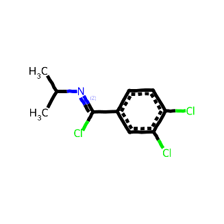 CC(C)/N=C(\Cl)c1ccc(Cl)c(Cl)c1